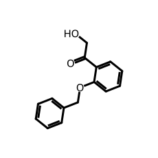 O=C(CO)c1ccccc1OCc1ccccc1